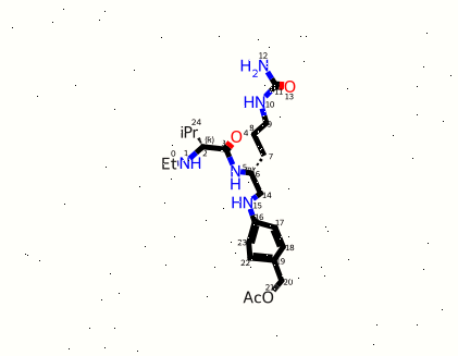 CCN[C@@H](C(=O)N[C@H](CCCNC(N)=O)CNc1ccc(COC(C)=O)cc1)C(C)C